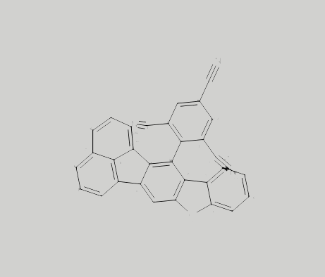 N#Cc1cc(C#N)c(-c2c3c(cc4oc5ccccc5c24)-c2cccc4cccc-3c24)c(C#N)c1